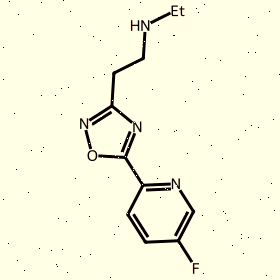 CCNCCc1noc(-c2ccc(F)cn2)n1